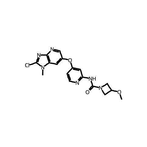 COC1CN(C(=O)Nc2cc(Oc3cnc4nc(Cl)n(C)c4c3)ccn2)C1